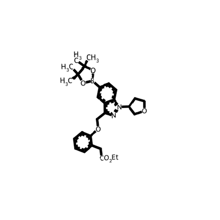 CCOC(=O)Cc1ccccc1OCc1nn(C2CCOC2)c2ccc(B3OC(C)(C)C(C)(C)O3)cc12